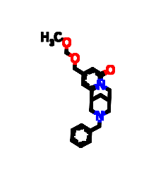 COCOCc1cc2n(c(=O)c1)CC1CC2CN(Cc2ccccc2)C1